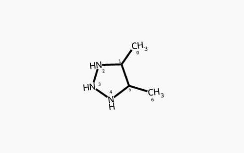 CC1NNNC1C